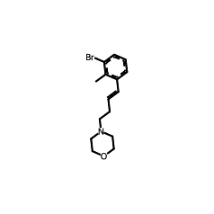 Cc1c(Br)cccc1/C=C/CCN1CCOCC1